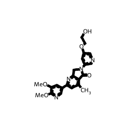 COc1cc(-c2cc(C)c3c(n2)CN(c2cncc(OCCO)c2)C3=O)cnc1OC